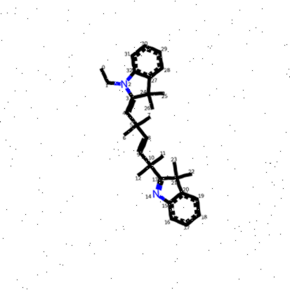 CCN1/C(=C/C(C)(C)C=CC(C)(C)C2=Nc3ccccc3C2(C)C)C(C)(C)c2ccccc21